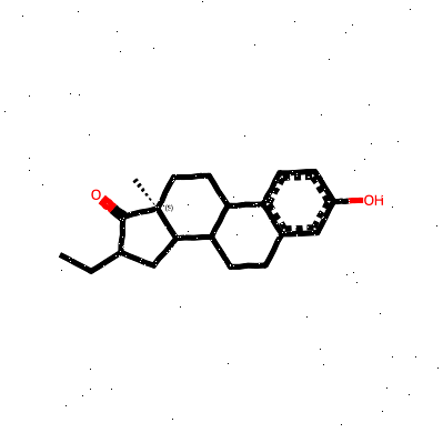 CCC1CC2C3CCc4cc(O)ccc4C3CC[C@]2(C)C1=O